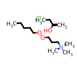 C=C(O)CC.CCCCCOOCCC[N+](C)(C)C.[Cl-]